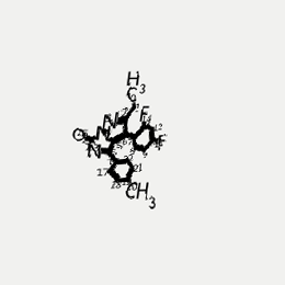 CCc1nn2c(c1-c1ccc(F)cc1F)C(c1ccc(C)cc1)=NC2=O